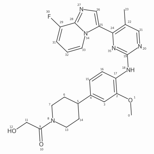 COc1cc(C2CCN(C(=O)CO)CC2)ccc1Nc1ncc(C)c(-c2cnc3c(F)cccn23)n1